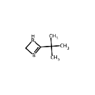 CC(C)(C)C1=BCB1